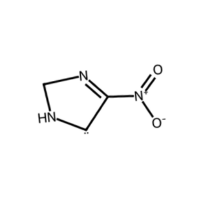 O=[N+]([O-])C1=NCN[C]1